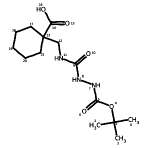 CC(C)(C)OC(=O)NNC(=O)NCC1(C(=O)O)CCCCC1